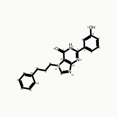 O=c1[nH]c(-c2cccc(O)c2)nc2ncn(CCCc3ccccc3)c12